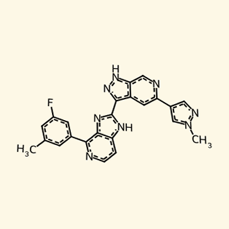 Cc1cc(F)cc(-c2nccc3[nH]c(-c4n[nH]c5cnc(-c6cnn(C)c6)cc45)nc23)c1